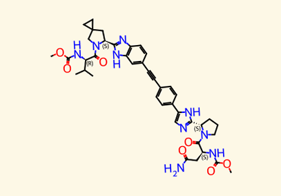 COC(=O)N[C@@H](CC(N)=O)C(=O)N1CCC[C@H]1c1ncc(-c2ccc(C#Cc3ccc4nc([C@@H]5CC6(CC6)CN5C(=O)[C@H](NC(=O)OC)C(C)C)[nH]c4c3)cc2)[nH]1